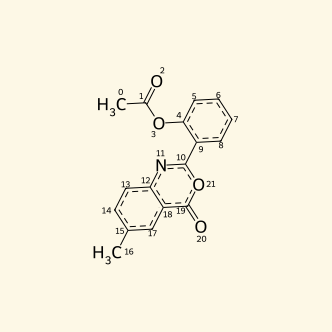 CC(=O)Oc1ccccc1-c1nc2ccc(C)cc2c(=O)o1